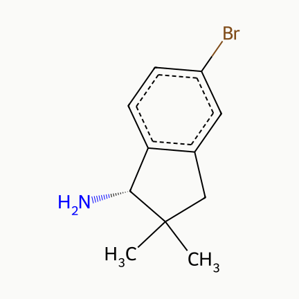 CC1(C)Cc2cc(Br)ccc2[C@H]1N